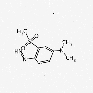 CN(C)c1ccc(N=N)c(S(C)(=O)=O)c1